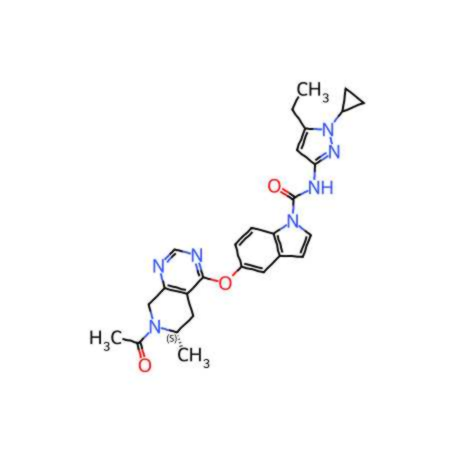 CCc1cc(NC(=O)n2ccc3cc(Oc4ncnc5c4C[C@H](C)N(C(C)=O)C5)ccc32)nn1C1CC1